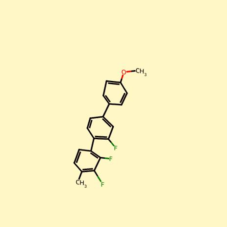 COc1ccc(-c2ccc(-c3ccc(C)c(F)c3F)c(F)c2)cc1